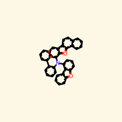 c1ccc(-c2ccccc2N(c2cccc3c2oc2c4ccccc4ccc32)c2cccc3oc4ccccc4c23)cc1